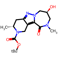 C[C@@H]1Cc2nn3c(c2CN1C(=O)OC(C)(C)C)C(=O)N(C)C[C@H](O)C3